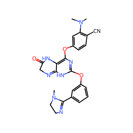 CN1CCN=C1c1cccc(OC2=NC(Oc3ccc(C#N)c(N(C)C)c3)=C3NC(=O)CN=C3N2)c1